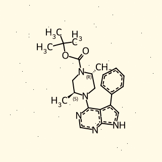 C[C@@H]1CN(c2ncnc3[nH]cc(-c4ccccc4)c23)[C@@H](C)CN1C(=O)OC(C)(C)C